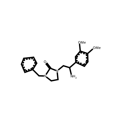 COc1ccc(C(N)CN2CCN(Cc3ccccc3)C2=O)cc1OC